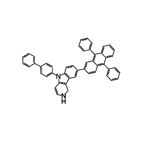 C1=Cc2c(c3cc(-c4ccc5c(-c6ccccc6)c6ccccc6c(-c6ccccc6)c5c4)ccc3n2-c2ccc(-c3ccccc3)cc2)CN1